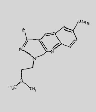 COc1ccc2nc3c(cc2c1)c(Br)nn3CCN(C)C